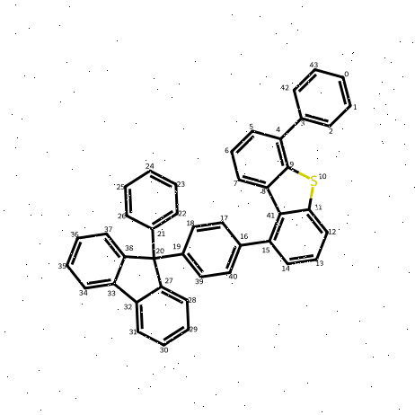 c1ccc(-c2cccc3c2sc2cccc(-c4ccc(C5(c6ccccc6)c6ccccc6-c6ccccc65)cc4)c23)cc1